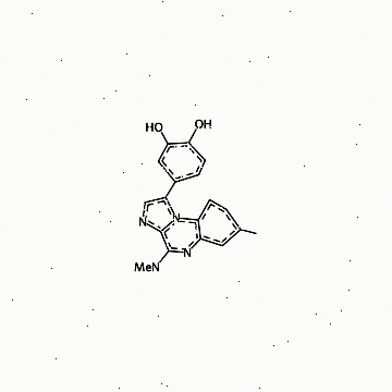 CNc1nc2cc(C)ccc2n2c(-c3ccc(O)c(O)c3)cnc12